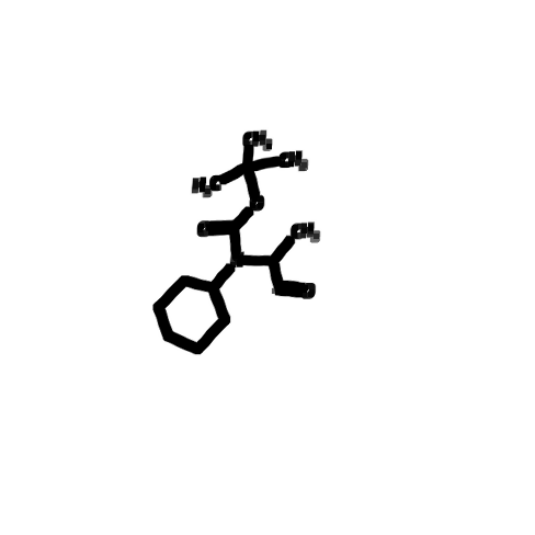 CC([C]=O)N(C(=O)OC(C)(C)C)C1CCCCC1